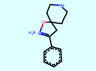 N.c1ccc(C2=NOC3(CCNCC3)C2)cc1